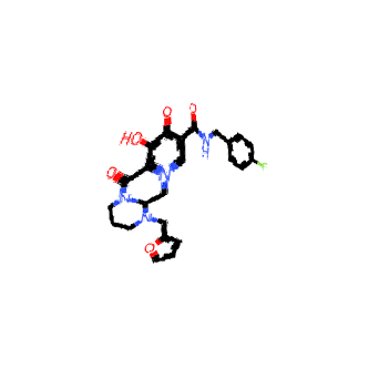 O=C(NCc1ccc(F)cc1)c1cn2c(c(O)c1=O)C(=O)N1CCCN(Cc3ccco3)C1C2